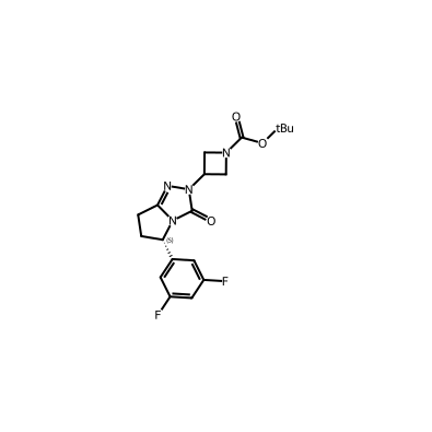 CC(C)(C)OC(=O)N1CC(n2nc3n(c2=O)[C@H](c2cc(F)cc(F)c2)CC3)C1